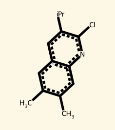 Cc1cc2cc(C(C)C)c(Cl)nc2cc1C